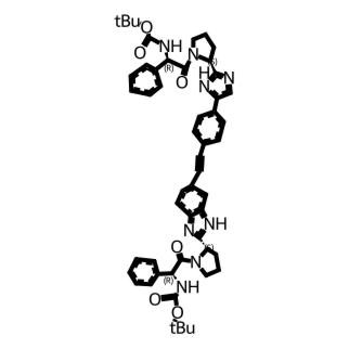 CC(C)(C)OC(=O)N[C@@H](C(=O)N1CCC[C@H]1c1ncc(-c2ccc(C#Cc3ccc4nc([C@@H]5CCCN5C(=O)[C@H](NC(=O)OC(C)(C)C)c5ccccc5)[nH]c4c3)cc2)[nH]1)c1ccccc1